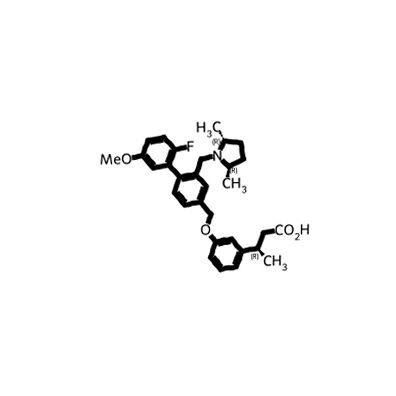 COc1ccc(F)c(-c2ccc(COc3cccc([C@H](C)CC(=O)O)c3)cc2CN2[C@H](C)CC[C@H]2C)c1